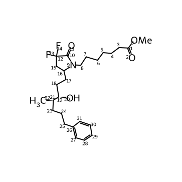 COC(=O)CCCCCCN1C(=O)C(F)(F)CC1CC[C@@H](O)[C@H](C)CCCc1ccccc1